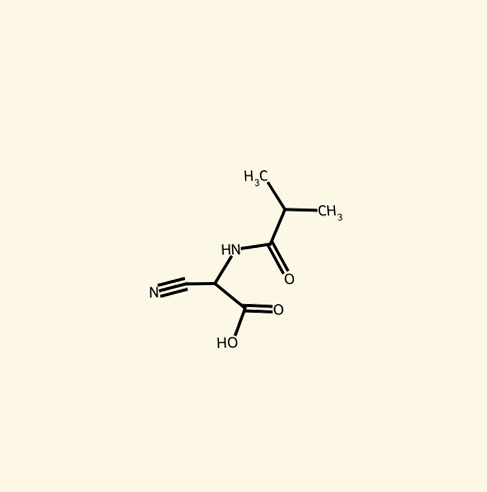 CC(C)C(=O)NC(C#N)C(=O)O